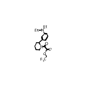 CCN(CC)c1cccc(C2CCCCN2C(=O)C(=O)OCC(F)(F)F)c1